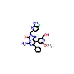 COc1cc(-c2c(-c3ccccc3)nc(N)[n+]3c(=O)n(Cc4ccc(F)c(N)n4)[nH]c23)cc(CO)n1